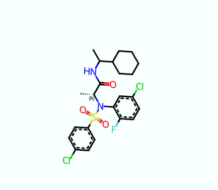 CC(NC(=O)[C@@H](C)N(c1cc(Cl)ccc1F)S(=O)(=O)c1ccc(Cl)cc1)C1CCCCC1